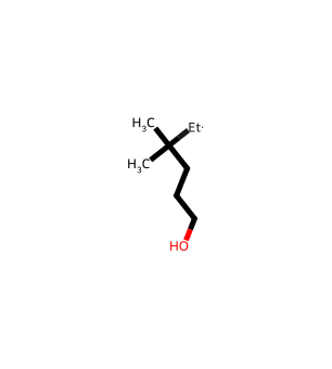 C[CH]C(C)(C)CCCO